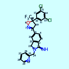 N=C1c2ccc(C3=NOC(c4cc(Cl)cc(Cl)c4)(C(F)(F)F)C3)cc2CN1Cc1ccccn1